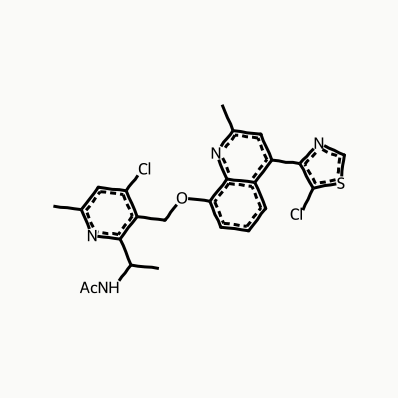 CC(=O)NC(C)c1nc(C)cc(Cl)c1COc1cccc2c(-c3ncsc3Cl)cc(C)nc12